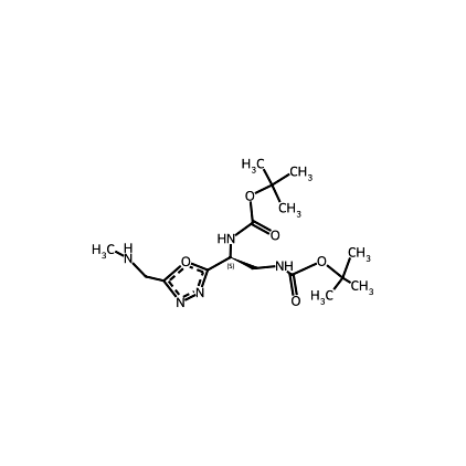 CNCc1nnc([C@H](CNC(=O)OC(C)(C)C)NC(=O)OC(C)(C)C)o1